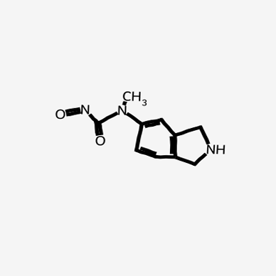 CN(C(=O)N=O)c1ccc2c(c1)CNC2